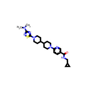 CN(C)c1nsc(N2CCC(C3CCN(c4ccc(C(=O)NCC5CC5)cn4)CC3)CC2)n1